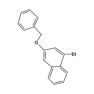 [CH2]Cc1cc(OCc2ccccc2)cc2ccccc12